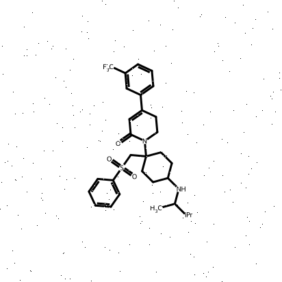 CC(C)C(C)NC1CCC(CS(=O)(=O)c2ccccc2)(N2CCC(c3cccc(C(F)(F)F)c3)=CC2=O)CC1